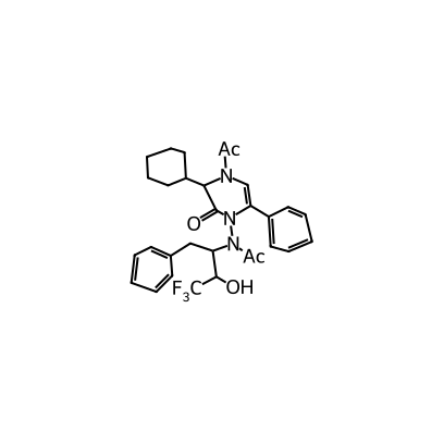 CC(=O)N1C=C(c2ccccc2)N(N(C(C)=O)C(Cc2ccccc2)C(O)C(F)(F)F)C(=O)C1C1CCCCC1